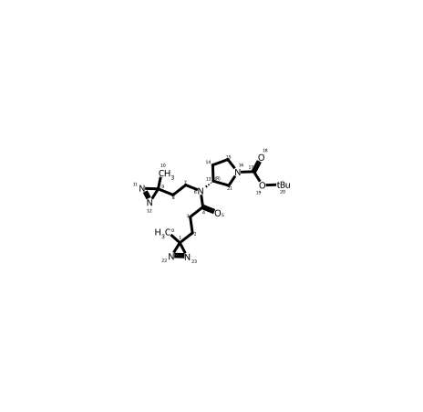 CC1(CCC(=O)N(CCC2(C)N=N2)[C@@H]2CCN(C(=O)OC(C)(C)C)C2)N=N1